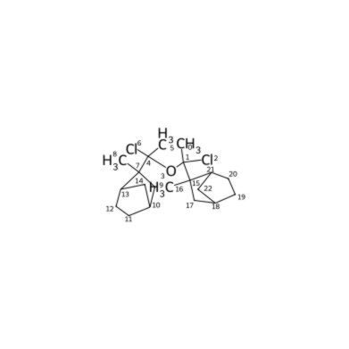 CC(Cl)(OC(C)(Cl)C1(C)CC2CCC1C2)C1(C)CC2CCC1C2